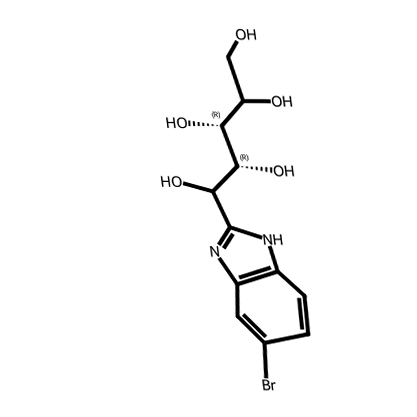 OCC(O)[C@@H](O)[C@H](O)C(O)c1nc2cc(Br)ccc2[nH]1